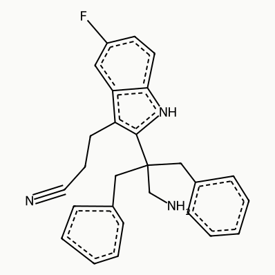 N#CCCc1c(C(CN)(Cc2ccccc2)Cc2ccccc2)[nH]c2ccc(F)cc12